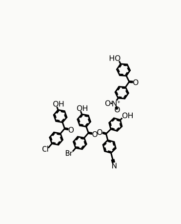 N#Cc1ccc(C(=O)c2ccc(O)cc2)cc1.O=C(c1ccc(O)cc1)c1ccc(Br)cc1.O=C(c1ccc(O)cc1)c1ccc(Cl)cc1.O=C(c1ccc(O)cc1)c1ccc([N+](=O)[O-])cc1